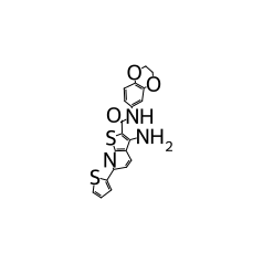 Nc1c(C(=O)Nc2ccc3c(c2)OCCO3)sc2nc(-c3cccs3)ccc12